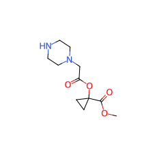 COC(=O)C1(OC(=O)CN2CCNCC2)CC1